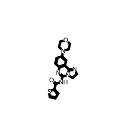 O=C(NC1=Nc2ccc(N3CCOCC3)cc2C2=NCCN12)c1cccs1